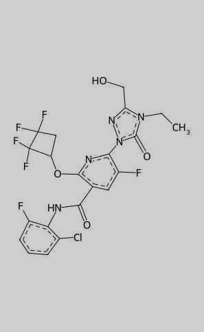 CCn1c(CO)nn(-c2nc(OC3CC(F)(F)C3(F)F)c(C(=O)Nc3c(F)cccc3Cl)cc2F)c1=O